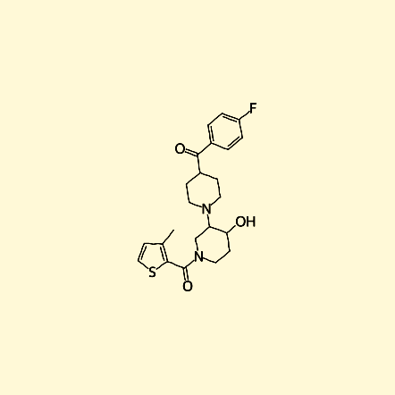 Cc1ccsc1C(=O)N1CCC(O)C(N2CCC(C(=O)c3ccc(F)cc3)CC2)C1